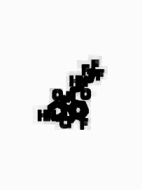 O=C(CN1C(=O)C2(CCNCC2)c2c1ccc(F)c2Cl)NCC(F)(F)F